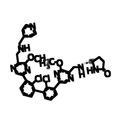 COc1nc(-c2cccc(-c3cccc(-c4cnc(CNC[C@@H]5CCC(=O)N5)c(OC)n4)c3Cl)c2Cl)cnc1CNCc1ccncc1